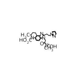 CC1CCc2c(ccc3c2nc(CCn2cccn2)n3CC(=O)N(C)CO)N1C(=O)O